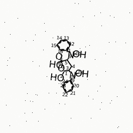 O=C(O)C(CC(C(=O)O)N(O)c1ccccc1)N(O)c1ccccc1